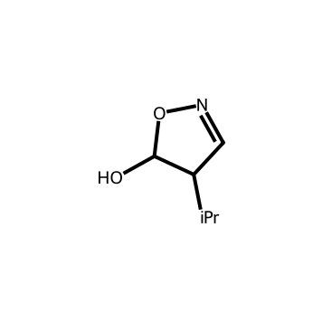 CC(C)C1C=NOC1O